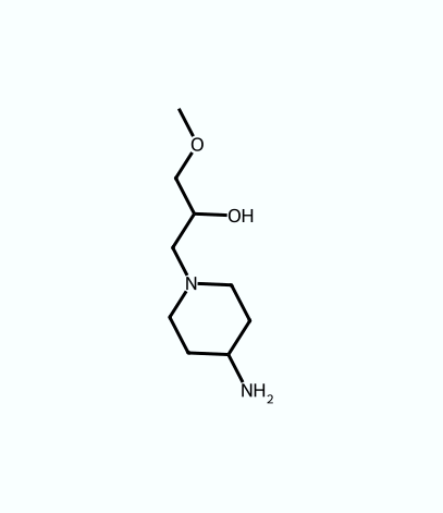 COCC(O)CN1CCC(N)CC1